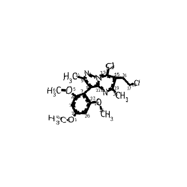 COc1cc(OC)c(-c2c(C)nn3c(Cl)c(CCCl)c(C)nc23)c(OC)c1